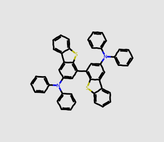 c1ccc(N(c2ccccc2)c2cc(-c3cc(N(c4ccccc4)c4ccccc4)cc4c3sc3ccccc34)c3sc4ccccc4c3c2)cc1